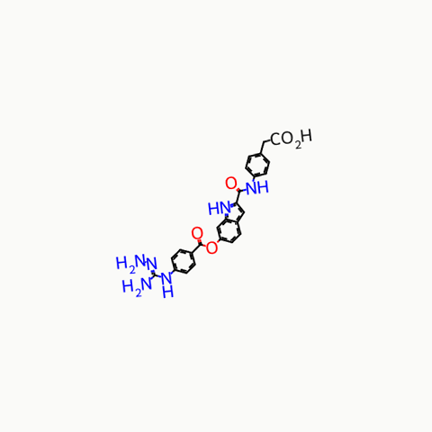 NN=C(N)Nc1ccc(C(=O)Oc2ccc3cc(C(=O)Nc4ccc(CC(=O)O)cc4)[nH]c3c2)cc1